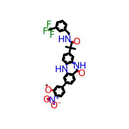 COc1cc(-c2ccc3c(c2)Nc2ccc(C(C)(C)C(=O)NCc4cccc(C(F)(F)F)c4)cc2NC3=O)ccc1[N+](=O)[O-]